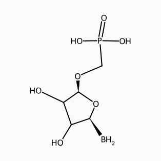 B[C@@H]1O[C@H](OCP(=O)(O)O)C(O)C1O